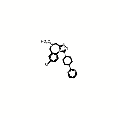 O=C(O)N1Cc2cc(Cl)ccc2-n2c(nnc2[C@H]2CC[C@H](c3ncccn3)CC2)C1